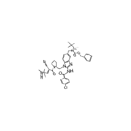 CNC(C)(C)C=C(C#N)C(=O)N1CCCC1Cn1c(NC(=O)c2ccc(Cl)cc2)nc2cc(CN(C(=O)OCc3ccccc3)[C@@H](C)C(C)(C)C)ccc21